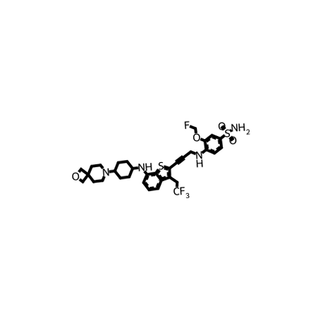 NS(=O)(=O)c1ccc(NCC#Cc2sc3c(NC4CCC(N5CCC6(CC5)COC6)CC4)cccc3c2CC(F)(F)F)c(OCF)c1